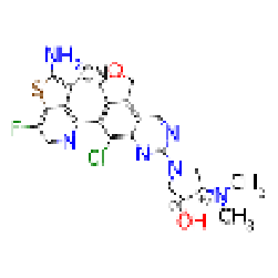 CN(C)[C@@H]1CN(c2ncc3c4c(c(-c5ncc(F)c6sc(N)c(C#N)c56)c(Cl)c3n2)COC4)C[C@H]1O